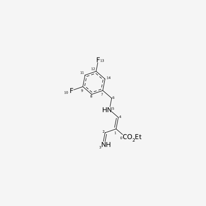 CCOC(=O)/C(C=N)=C/NCc1cc(F)cc(F)c1